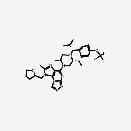 CC[C@@H]1CN(c2nc3nncn3c3c2nc(C)n3CC2CCCO2)[C@@H](C)CN1[C@@H](c1ccc(OC(F)(F)F)cc1)C(C)C